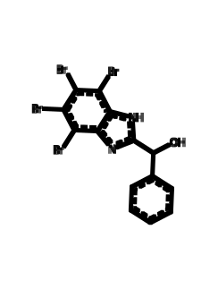 OC(c1ccccc1)c1nc2c(Br)c(Br)c(Br)c(Br)c2[nH]1